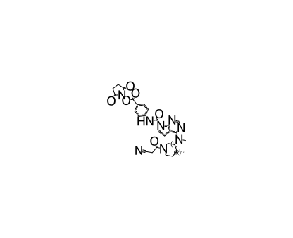 C[C@@H]1CCN(C(=O)CC#N)C[C@@H]1N(C)c1ncnc2c1ccn2C(=O)Nc1ccc(C(=O)ON2C(=O)CCC2=O)cc1